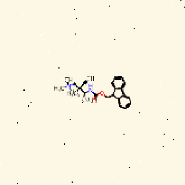 C#C[C@@](C)(C[N+](C)(C)C)[C@@H](NC(=O)OCC1c2ccccc2-c2ccccc21)C(=O)O